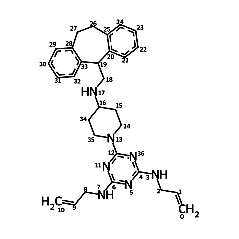 C=CCNc1nc(NCC=C)nc(N2CCC(NCC3c4ccccc4CCc4ccccc43)CC2)n1